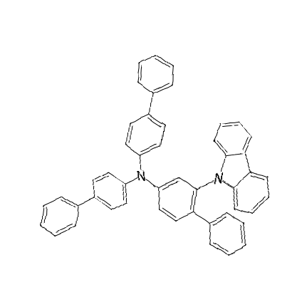 c1ccc(-c2ccc(N(c3ccc(-c4ccccc4)cc3)c3ccc(-c4ccccc4)c(-n4c5ccccc5c5ccccc54)c3)cc2)cc1